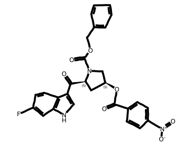 O=C(O[C@H]1C[C@@H](C(=O)c2c[nH]c3cc(F)ccc23)N(C(=O)OCc2ccccc2)C1)c1ccc([N+](=O)[O-])cc1